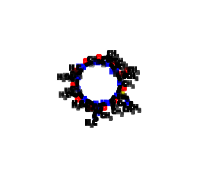 C/C=C/C[C@@H](C)C[C@@]1(NO)C(=O)N[C@H](CCC)C(=O)N(C)[C@H](SCCN(CC)C(C)C)C(=O)N(C)[C@@H](CC(C)(C)OC)C(=O)N[C@H](C(C)C)C(=O)N(C)[C@H](CC(C)C)C(=O)N[C@H](C)C(=O)N[C@@H](C)C(=O)N(C)[C@@H](CC(C)C)C(=O)N(C)[C@H](CC(C)C)C(=O)N(C)[C@H](C(C)C)C(=O)N1C